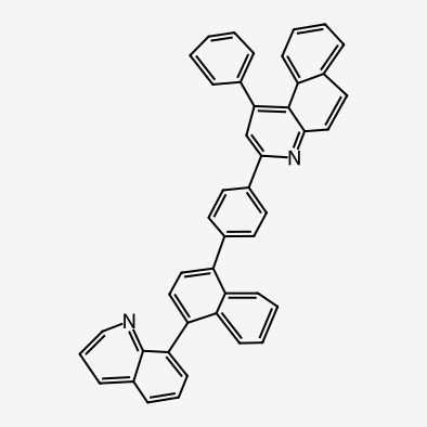 c1ccc(-c2cc(-c3ccc(-c4ccc(-c5cccc6cccnc56)c5ccccc45)cc3)nc3ccc4ccccc4c23)cc1